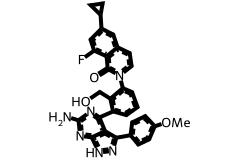 COc1ccc(-c2n[nH]c3nc(N)nc(-c4cccc(-n5ccc6cc(C7CC7)cc(F)c6c5=O)c4CO)c23)cc1